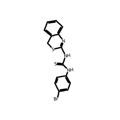 S=C(NC1=Nc2ccccc2CS1)Nc1ccc(Br)cc1